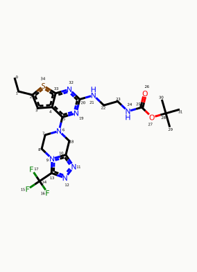 CCc1cc2c(N3CCn4c(nnc4C(F)(F)F)C3)nc(NCCNC(=O)OC(C)(C)C)nc2s1